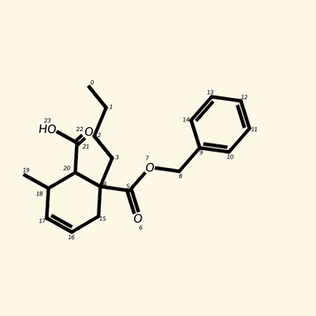 CCCCC1(C(=O)OCc2ccccc2)CC=CC(C)C1C(=O)O